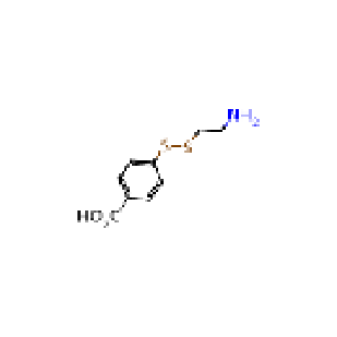 NCCSSc1ccc(C(=O)O)cc1